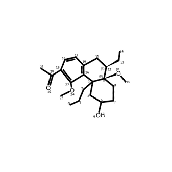 CCCC12CC(O)CC[C@@]1(OC)[C@H](CC)Cc1ccc(C(C)=O)c(OC)c12